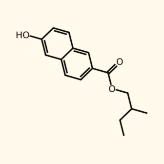 CCC(C)COC(=O)c1ccc2cc(O)ccc2c1